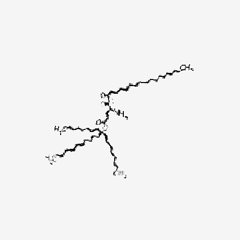 CCCCCCCCCCCCCCCCCC(=O)OC(=O)C(N)CCC(=O)OC(CCCCCCCC)(CCCCCCCC)CCCCCCCCCCC